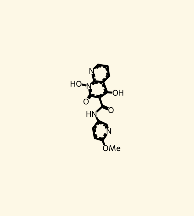 COc1ccc(NC(=O)c2c(O)c3cccnc3n(O)c2=O)cn1